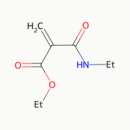 C=C(C(=O)NCC)C(=O)OCC